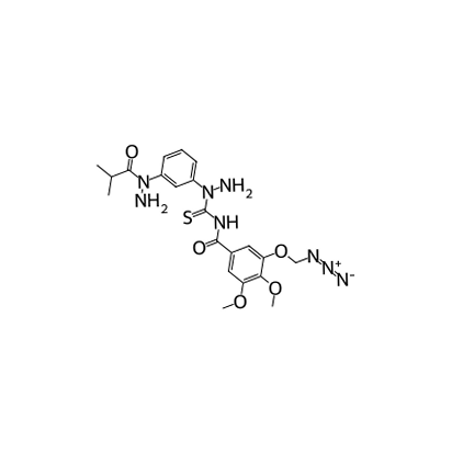 COc1cc(C(=O)NC(=S)N(N)c2cccc(N(N)C(=O)C(C)C)c2)cc(OCN=[N+]=[N-])c1OC